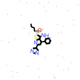 CCCC[S@@+]([O-])c1sc2nc(-c3cncnc3)cc(-c3ccccc3)c2c1N